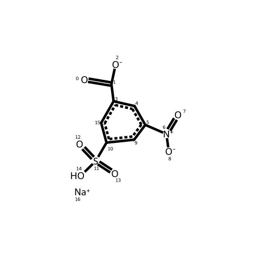 O=C([O-])c1cc([N+](=O)[O-])cc(S(=O)(=O)O)c1.[Na+]